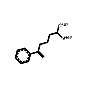 C=C(CCCC(CCCCCC)CCCCCC)c1ccccc1